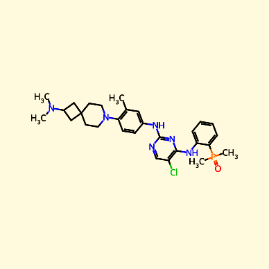 Cc1cc(Nc2ncc(Cl)c(Nc3ccccc3P(C)(C)=O)n2)ccc1N1CCC2(CC1)CC(N(C)C)C2